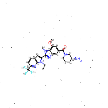 CCn1c(-c2nc3cc(C(=O)N4CCC[C@@H](N)C4)cc(OC)c3n2C)cc2ccc(C(F)(F)F)nc21